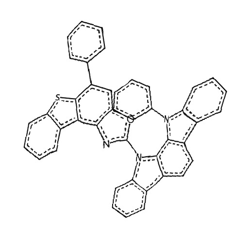 c1ccc(-c2cc3oc(-n4c5ccccc5c5ccc6c7ccccc7n(-c7ccccc7)c6c54)nc3c3c2sc2ccccc23)cc1